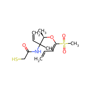 C=C/C=C(\O[C@H](C)C(C)(C=C)NC(=O)CS)S(C)(=O)=O